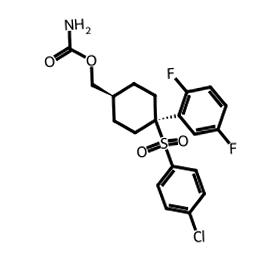 NC(=O)OC[C@H]1CC[C@@](c2cc(F)ccc2F)(S(=O)(=O)c2ccc(Cl)cc2)CC1